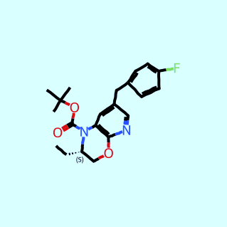 CC[C@H]1COc2ncc(Cc3ccc(F)cc3)cc2N1C(=O)OC(C)(C)C